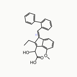 CCC1=C(C(O)C(=O)O)c2c(OC)cccc2/C1=C\c1ccccc1-c1ccccc1